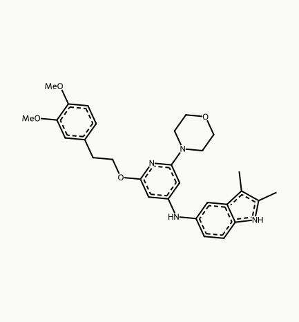 COc1ccc(CCOc2cc(Nc3ccc4[nH]c(C)c(C)c4c3)cc(N3CCOCC3)n2)cc1OC